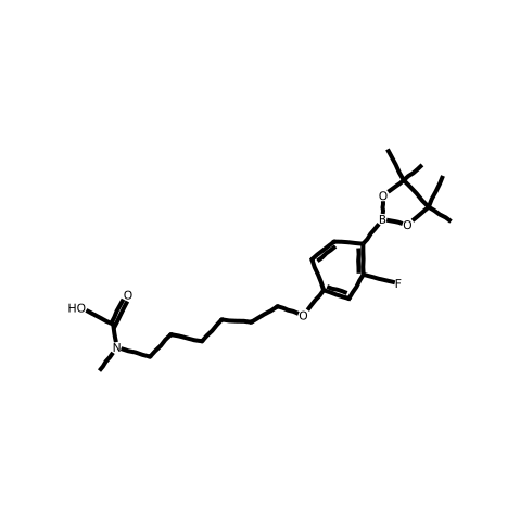 CN(CCCCCCOc1ccc(B2OC(C)(C)C(C)(C)O2)c(F)c1)C(=O)O